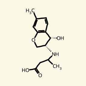 Cc1ccc2c(c1)OC[C@@H](NC(C)CC(=O)O)[C@H]2O